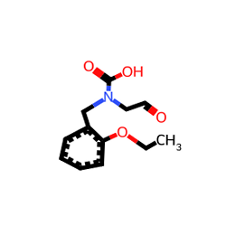 CCOc1ccccc1CN(CC=O)C(=O)O